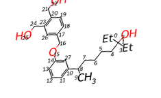 CCC(O)(CC)CCCCC(C)c1cccc(OCc2ccc(CO)c(CO)c2)c1